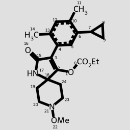 CCOC(=O)OC1=C(c2cc(C3CC3)c(C)cc2C)C(=O)NC12CCN(OC)CC2